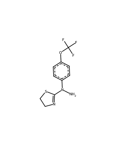 NN(C1=NCCS1)c1ccc(OC(F)(F)F)cc1